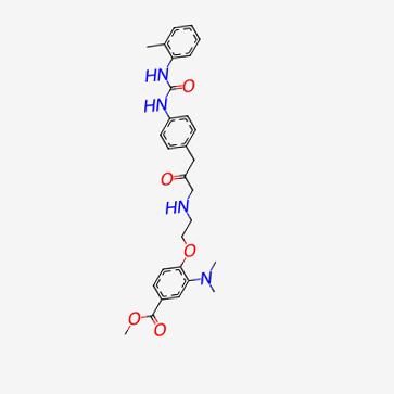 COC(=O)c1ccc(OCCNCC(=O)Cc2ccc(NC(=O)Nc3ccccc3C)cc2)c(N(C)C)c1